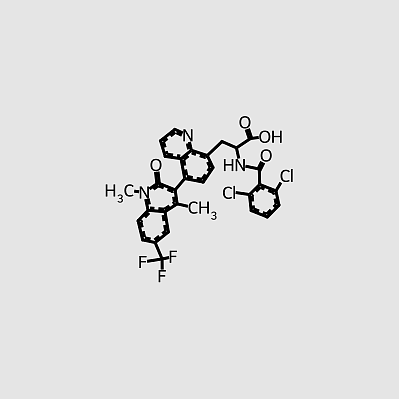 Cc1c(-c2ccc(CC(NC(=O)c3c(Cl)cccc3Cl)C(=O)O)c3ncccc23)c(=O)n(C)c2ccc(C(F)(F)F)cc12